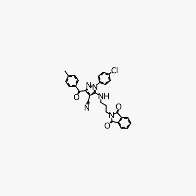 Cc1ccc(C(=O)c2nn(-c3ccc(Cl)cc3)c(NCCCN3C(=O)c4ccccc4C3=O)c2C#N)cc1